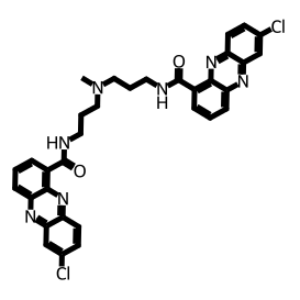 CN(CCCNC(=O)c1cccc2nc3cc(Cl)ccc3nc12)CCCNC(=O)c1cccc2nc3cc(Cl)ccc3nc12